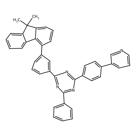 CC1(C)c2ccccc2-c2c(-c3cccc(-c4nc(-c5ccccc5)nc(-c5ccc(-c6cccnc6)cc5)n4)c3)cccc21